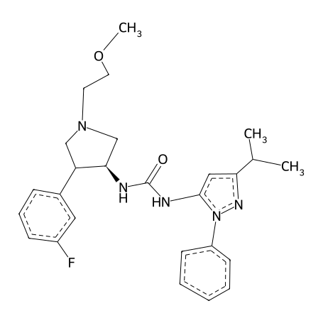 COCCN1CC(c2cccc(F)c2)[C@H](NC(=O)Nc2cc(C(C)C)nn2-c2ccccc2)C1